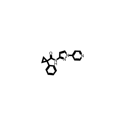 O=C(Nc1ccn(-c2ccncc2)n1)C1(c2ccccc2)CC1